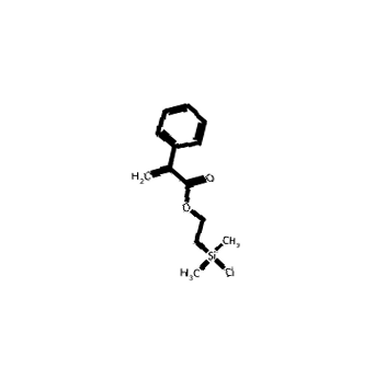 C=C(C(=O)OCC[Si](C)(C)Cl)c1ccccc1